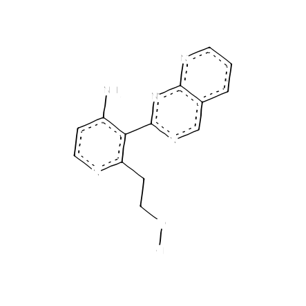 COCCc1nccc(N)c1-c1ncc2cccnc2n1